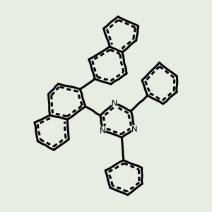 c1ccc(-c2nc(-c3ccccc3)nc(-c3c(-c4ccc5ccccc5c4)ccc4ccccc34)n2)cc1